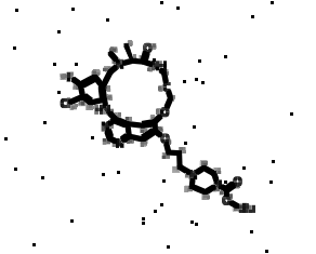 C[C@H]1C(=O)NCCCOc2cc3c(ncnc3cc2OCCCN2CCN(C(=O)OC(C)(C)C)CC2)Nc2cc(Cl)c(F)cc2CN1C